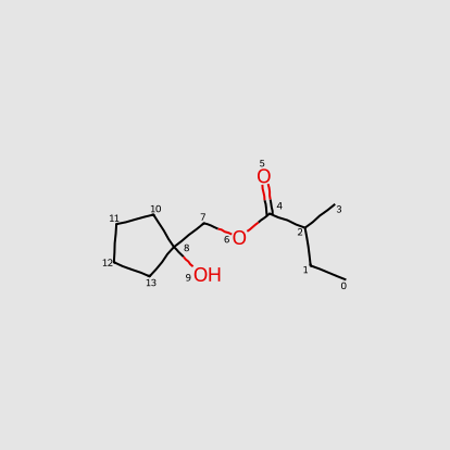 CCC(C)C(=O)OCC1(O)CCCC1